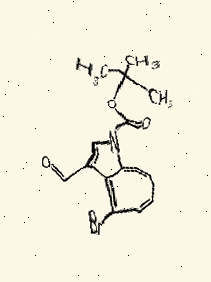 CC(C)(C)OC(=O)n1cc(C=O)c2c(Br)cccc21